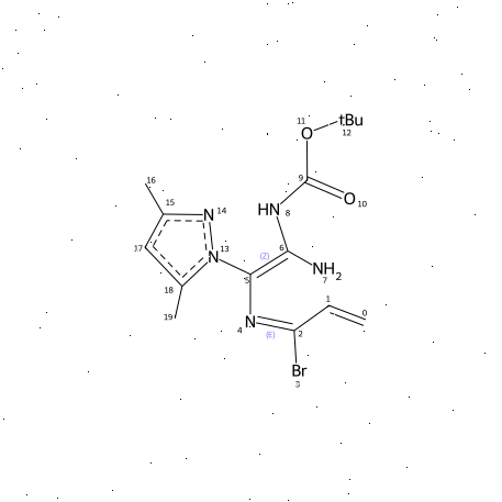 C=C/C(Br)=N\C(=C(/N)NC(=O)OC(C)(C)C)n1nc(C)cc1C